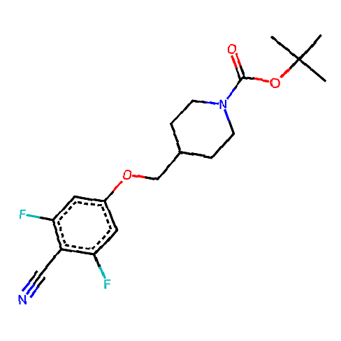 CC(C)(C)OC(=O)N1CCC(COc2cc(F)c(C#N)c(F)c2)CC1